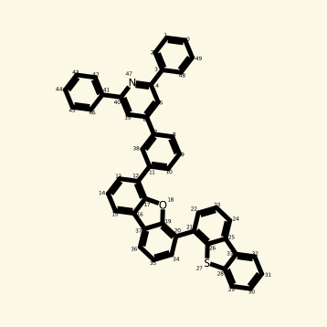 c1ccc(-c2cc(-c3cccc(-c4cccc5c4oc4c(-c6cccc7c6sc6ccccc67)cccc45)c3)cc(-c3ccccc3)n2)cc1